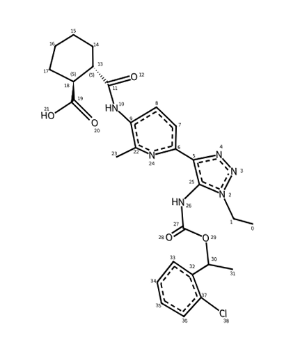 CCn1nnc(-c2ccc(NC(=O)[C@H]3CCCC[C@@H]3C(=O)O)c(C)n2)c1NC(=O)OC(C)c1ccccc1Cl